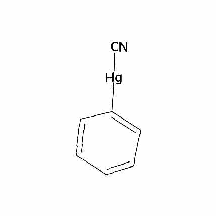 N#[C][Hg][c]1ccccc1